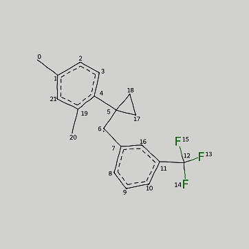 Cc1ccc(C2([CH]c3cccc(C(F)(F)F)c3)CC2)c(C)c1